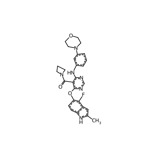 Cc1cc2c(F)c(Oc3ncnc(Nc4cccc(N5CCOCC5)c4)c3C(=O)N3CCC3)ccc2[nH]1